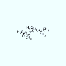 CCC(C)=CCCC(C)=CCC=C(C)CC(C)=O